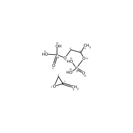 C=C1CO1.CC(COP(=O)(O)O)OP(=O)(O)O